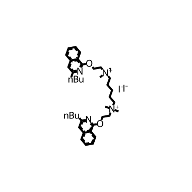 CCCCc1cc2ccccc2c(OCC[N+](C)(C)CCCCC[N+](C)(C)CCOc2nc(CCCC)cc3ccccc23)n1.[I-].[I-]